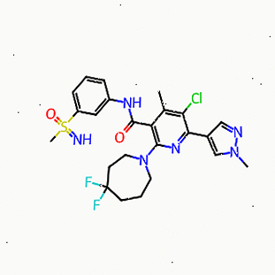 Cc1c(Cl)c(-c2cnn(C)c2)nc(N2CCCC(F)(F)CC2)c1C(=O)Nc1cccc(S(C)(=N)=O)c1